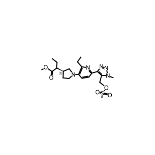 CCc1nc(-c2nnn(C)c2COS(C)(=O)=O)ccc1N1CC[C@@H](C(CC)C(=O)OC)C1